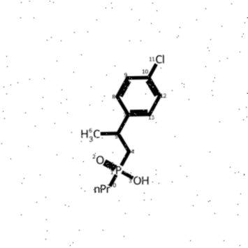 CCCP(=O)(O)CC(C)c1ccc(Cl)cc1